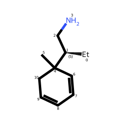 CC[C@H](CN)C1(C)C=CC=CC1